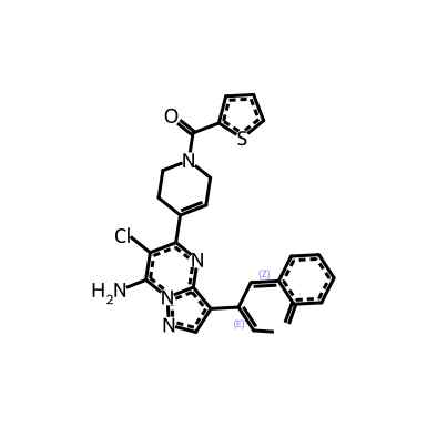 C=c1cccc/c1=C/C(=C\C)c1cnn2c(N)c(Cl)c(C3=CCN(C(=O)c4cccs4)CC3)nc12